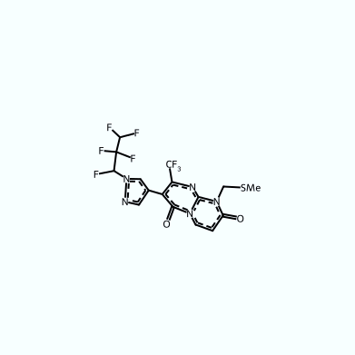 CSCn1c(=O)ccn2c(=O)c(-c3cnn(C(F)C(F)(F)C(F)F)c3)c(C(F)(F)F)nc12